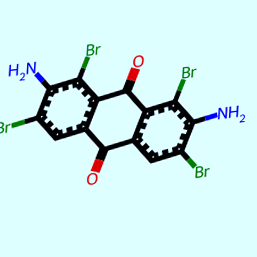 Nc1c(Br)cc2c(c1Br)C(=O)c1c(cc(Br)c(N)c1Br)C2=O